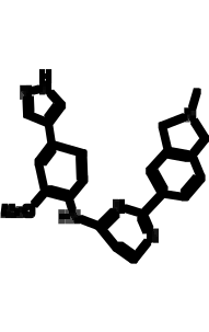 COc1cc(-c2cn[nH]c2)ccc1Nc1ccnc(-c2ccc3c(c2)CN(C)C3)n1